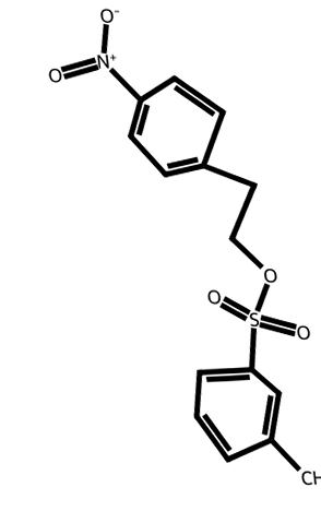 Cc1cccc(S(=O)(=O)OCCc2ccc([N+](=O)[O-])cc2)c1